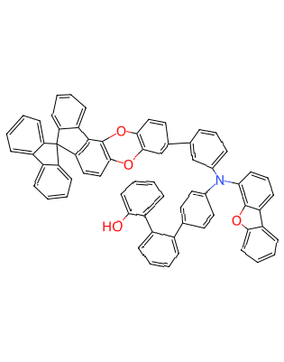 Oc1ccccc1-c1ccccc1-c1ccc(N(c2cccc(-c3ccc4c(c3)Oc3ccc5c(c3O4)-c3ccccc3C53c4ccccc4-c4ccccc43)c2)c2cccc3c2oc2ccccc23)cc1